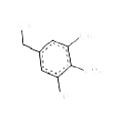 COc1c(C(C)(C)C)cc(CC=O)cc1C(C)(C)C